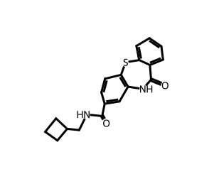 O=C(NCC1CCC1)c1ccc2c(c1)NC(=O)c1ccccc1S2